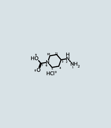 Cl.NNC1CCN(C(=O)O)CC1